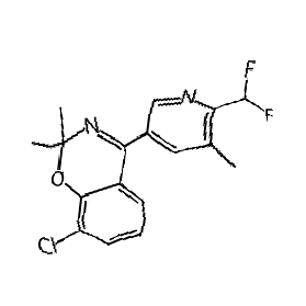 Cc1cc(C2=NC(C)(C)Oc3c(Cl)cccc32)cnc1C(F)F